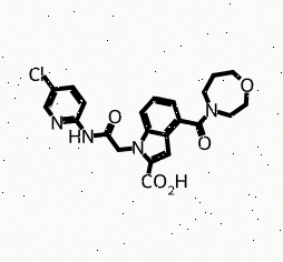 O=C(Cn1c(C(=O)O)cc2c(C(=O)N3CCCOCC3)cccc21)Nc1ccc(Cl)cn1